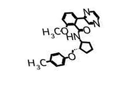 COc1cccc(-c2cnccn2)c1C(=O)NC1CCC[C@@H]1COc1ccc(C)cc1